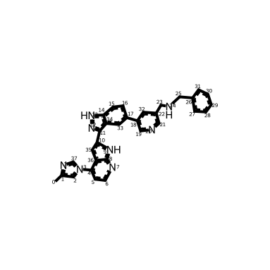 Cc1cn(-c2ccnc3[nH]c(-c4n[nH]c5ccc(-c6cncc(CNCc7ccccc7)c6)cc45)cc23)cn1